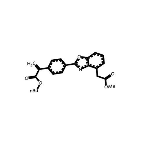 C=C(C(=O)OCCCC)c1ccc(-c2nc3c(CC(=O)OC)cccc3o2)cc1